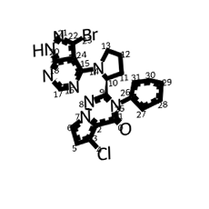 O=c1c2c(Cl)ccn2nc([C@@H]2CCCN2c2ncnc3[nH]nc(Br)c23)n1-c1ccccc1